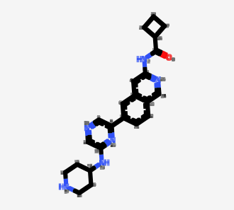 O=C(Nc1cc2cc(-c3cncc(NC4CCNCC4)n3)ccc2cn1)C1CCC1